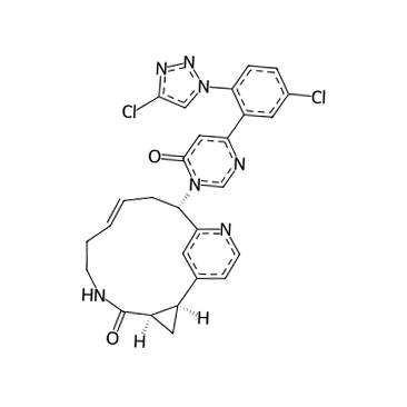 O=C1NCC/C=C/C[C@H](n2cnc(-c3cc(Cl)ccc3-n3cc(Cl)nn3)cc2=O)c2cc(ccn2)[C@H]2C[C@@H]12